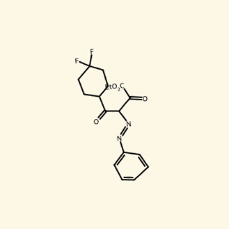 CCOC(=O)C(=O)C(/N=N/c1ccccc1)C(=O)C1CCC(F)(F)CC1